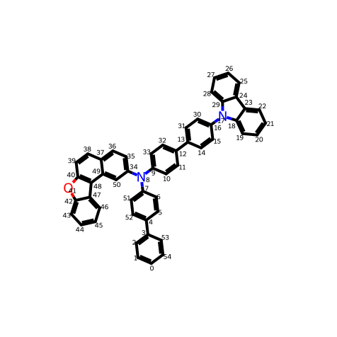 c1ccc(-c2ccc(N(c3ccc(-c4ccc(-n5c6ccccc6c6ccccc65)cc4)cc3)c3ccc4ccc5oc6ccccc6c5c4c3)cc2)cc1